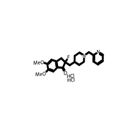 COc1cc2c(cc1OC)C(=O)C(F)(CC1CCN(Cc3ccccn3)CC1)C2.Cl.Cl